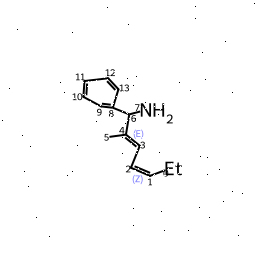 CC/C=C\C=C(/C)C(N)c1ccccc1